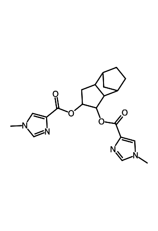 Cn1cnc(C(=O)OC2CC3C4CCC(C4)C3C2OC(=O)c2cn(C)cn2)c1